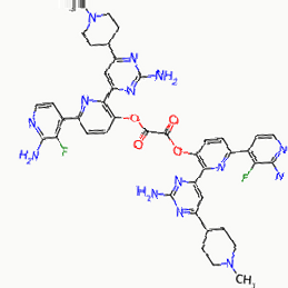 CN1CCC(c2cc(-c3nc(-c4ccnc(N)c4F)ccc3OC(=O)C(=O)Oc3ccc(-c4ccnc(N)c4F)nc3-c3cc(C4CCN(C)CC4)nc(N)n3)nc(N)n2)CC1